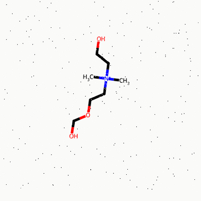 C[N+](C)(CCO)CCOCO